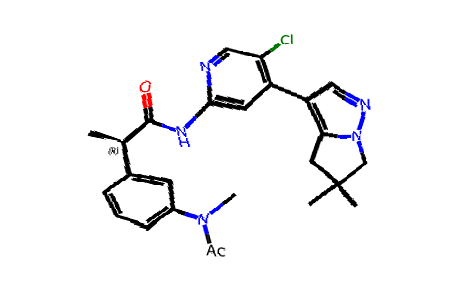 CC(=O)N(C)c1cccc([C@@H](C)C(=O)Nc2cc(-c3cnn4c3CC(C)(C)C4)c(Cl)cn2)c1